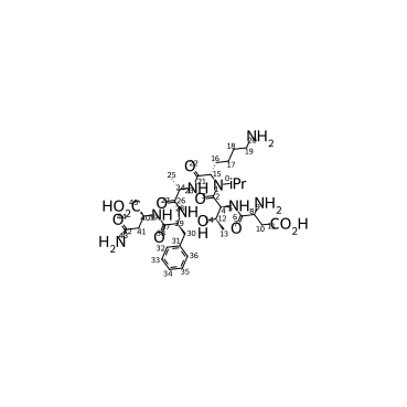 CC(C)N(C(=O)[C@@H](NC(=O)[C@@H](N)CC(=O)O)[C@@H](C)O)[C@@H](CCCCN)C(=O)N[C@@H](C)C(=O)N[C@@H](Cc1ccccc1)C(=O)N[C@@H](CC(N)=O)C(=O)O